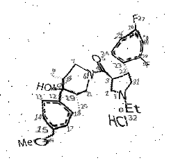 CCN1C[C@@H](C(=O)N2C[C@@H](C)C(O)(c3ccc(OC)cc3)[C@@H](C)C2)[C@H](c2ccc(F)cc2F)C1.Cl